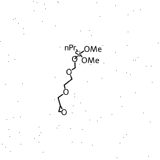 CCC[Si](OC)(OC)OCOCCOCC1CO1